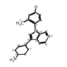 Cc1cc(Cl)ccc1-n1cc(C2CCC(N)CC2)c2ccncc21